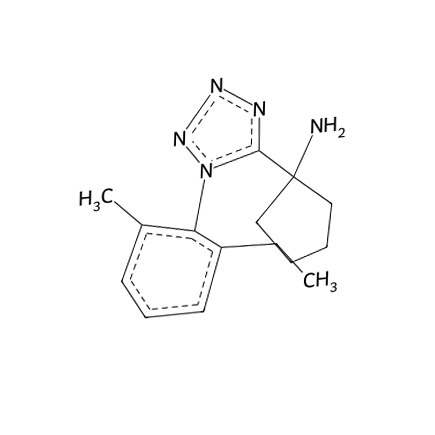 CCc1cccc(C)c1-n1nnnc1C1(N)CCCC1